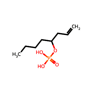 C=CCC(CCCC)OP(=O)(O)O